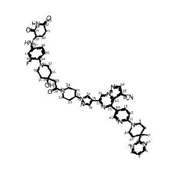 CC1(c2ncccn2)CCN(c2ccc(-c3nc(-c4cnn(C5CCN(C(=O)CC6(O)CCN(c7ccc(NC8CCC(=O)NC8=O)cc7F)CC6)CC5)c4)cn4ncc(C#N)c34)cn2)CC1